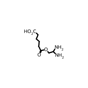 NC(N)COC(=O)CCCCC(=O)O